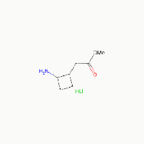 COC(=O)CC1CCC1N.Cl